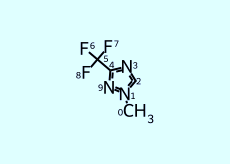 Cn1cnc(C(F)(F)F)n1